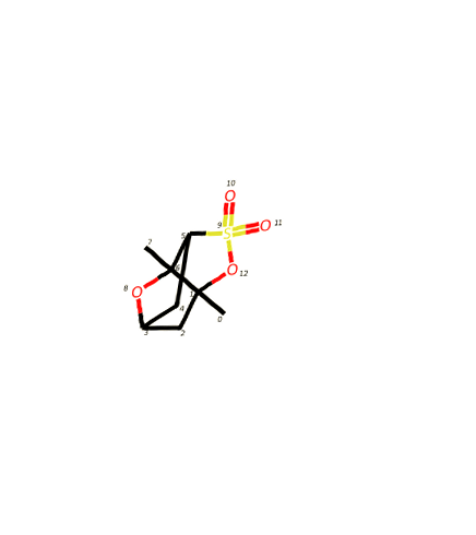 CC12CC3CC(C1(C)O3)S(=O)(=O)O2